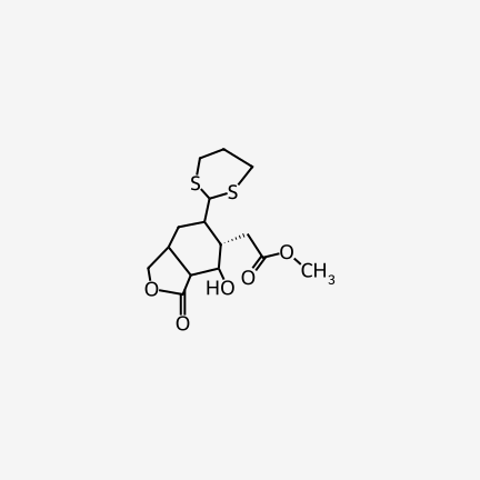 COC(=O)C[C@@H]1C(O)C2C(=O)OCC2CC1C1SCCCS1